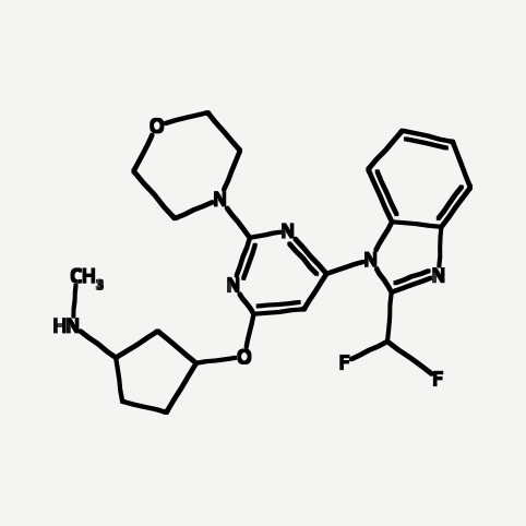 CNC1CCC(Oc2cc(-n3c(C(F)F)nc4ccccc43)nc(N3CCOCC3)n2)C1